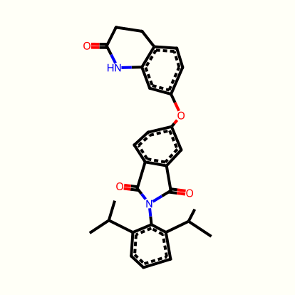 CC(C)c1cccc(C(C)C)c1N1C(=O)c2ccc(Oc3ccc4c(c3)NC(=O)CC4)cc2C1=O